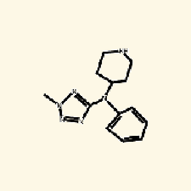 Cn1nnc(N(c2ccccc2)C2CCNCC2)n1